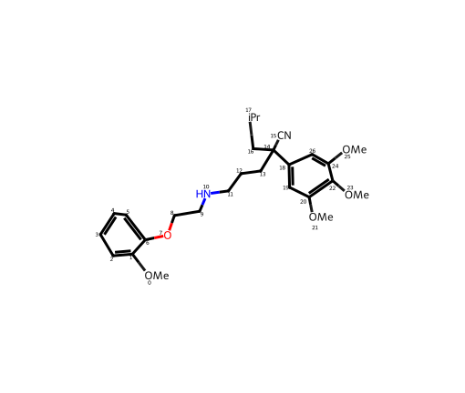 COc1ccccc1OCCNCCCC(C#N)(CC(C)C)c1cc(OC)c(OC)c(OC)c1